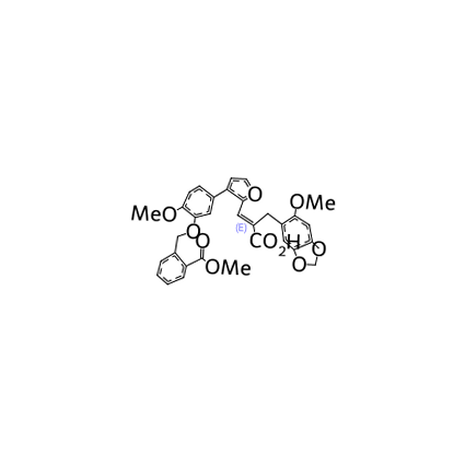 COC(=O)c1ccccc1COc1cc(-c2ccoc2/C=C(\Cc2cc3c(cc2OC)OCO3)C(=O)O)ccc1OC